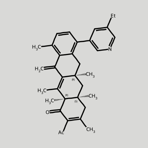 C=C1C2=C(C)[C@]3(C)C(=O)C(C(C)=O)=C(C)C[C@]3(C)C[C@]2(C)Cc2c(-c3cncc(CC)c3)ccc(C)c21